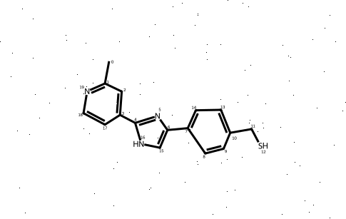 Cc1cc(-c2nc(-c3ccc(CS)cc3)c[nH]2)ccn1